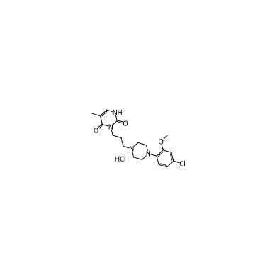 COc1cc(Cl)ccc1N1CCN(CCCn2c(=O)[nH]cc(C)c2=O)CC1.Cl